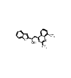 OC(Cc1cc(C(F)(F)F)nc2c(C(F)(F)F)cccc12)c1cc2ccccc2o1